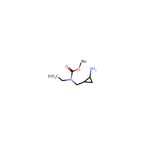 CCOC(=O)CN(CC1CC1N)C(=O)OC(C)(C)C